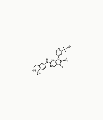 CC(C)(C#N)c1cc(-n2c3nc(Nc4ccc5c(c4)CCNC54CC4)ncc3c(=O)n2C2CC2)ccn1